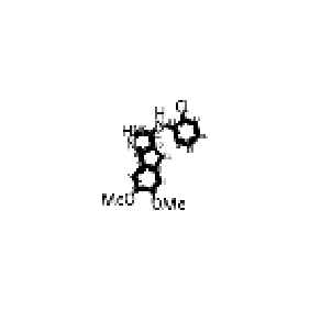 COc1cc2c(cc1OC)-c1n[nH]c(Nc3ccccc3Cl)c1C2